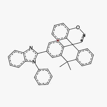 CC1(C)c2ccccc2C2(c3ccccc3Oc3ccccc32)c2ccc(-c3nc4ccccc4n3-c3ccccc3)cc21